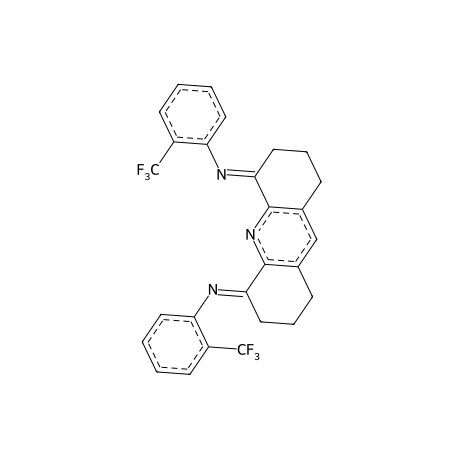 FC(F)(F)c1ccccc1/N=C1\CCCc2cc3c(nc21)/C(=N/c1ccccc1C(F)(F)F)CCC3